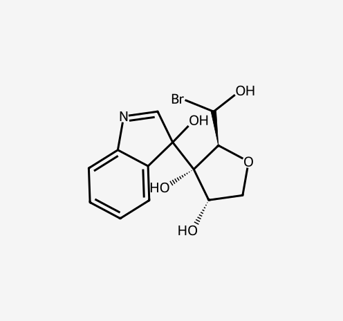 OC(Br)[C@H]1OC[C@H](O)[C@@]1(O)C1(O)C=Nc2ccccc21